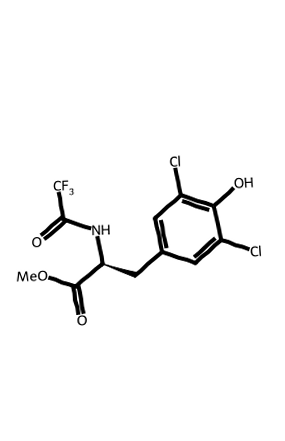 COC(=O)[C@H](Cc1cc(Cl)c(O)c(Cl)c1)NC(=O)C(F)(F)F